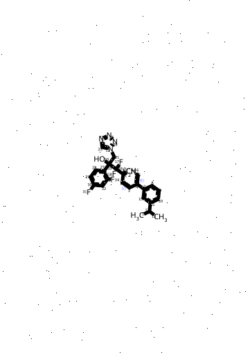 C=C(/C=C\C(=C/N)c1cccc(C(C)C)c1)C(F)(F)C(O)(Cn1cnnn1)c1ccc(F)cc1F